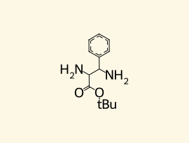 CC(C)(C)OC(=O)C(N)C(N)c1ccccc1